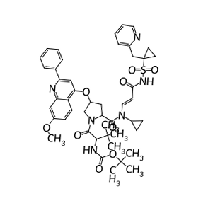 COc1ccc2c(OC3CC(C(=O)N(C=CC(=O)NS(=O)(=O)C4(Cc5ccccn5)CC4)C4CC4)N(C(=O)C(NC(=O)OC(C)(C)C)C(C)(C)C)C3)cc(-c3ccccc3)nc2c1